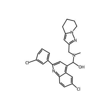 CN(Cc1cc2n(n1)CCCC2)C(O)c1cc(-c2cccc(Cl)c2)nc2ccc(Cl)cc12